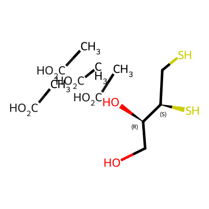 CC(=O)O.CC(=O)O.CC(=O)O.CC(=O)O.OC[C@@H](O)[C@H](S)CS